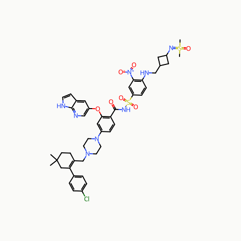 CC1(C)CCC(CN2CCN(c3ccc(C(=O)NS(=O)(=O)c4ccc(NCC5CC(N=S(C)(C)=O)C5)c([N+](=O)[O-])c4)c(Oc4cnc5[nH]ccc5c4)c3)CC2)=C(c2ccc(Cl)cc2)C1